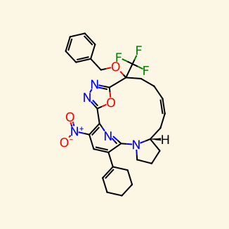 O=[N+]([O-])c1cc(C2=CCCCC2)c2nc1-c1nnc(o1)C(OCc1ccccc1)(C(F)(F)F)CCC=CC[C@@H]1CCCN21